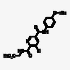 CCCCOc1ccc(NC(=O)c2cnc(C(=O)NCC(=O)OCC)c(Cl)c2)cc1